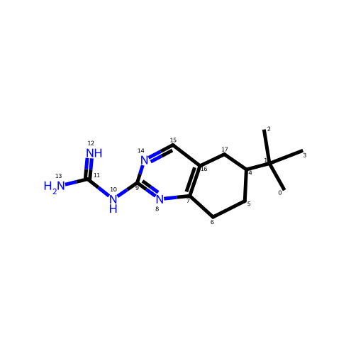 CC(C)(C)C1CCc2nc(NC(=N)N)ncc2C1